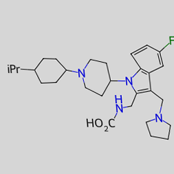 CC(C)C1CCC(N2CCC(n3c(CNC(=O)O)c(CN4CCCC4)c4cc(F)ccc43)CC2)CC1